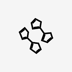 C1=CCC(C2=CC=CC2)=C1.C1=CCC(C2=CC=CC2)=C1